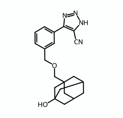 N#Cc1[nH]nnc1-c1cccc(COCC23CC4CC(CC(O)(C4)C2)C3)c1